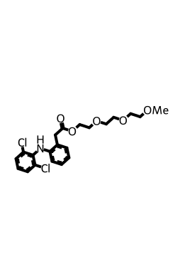 COCCOCCOCCOC(=O)Cc1ccccc1Nc1c(Cl)cccc1Cl